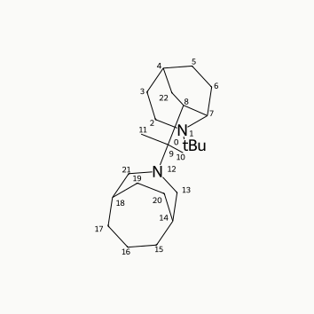 CC(C)(C)N1CCC2CCC1C(C(C)(C)N1CC3CCCC(CC3)C1)C2